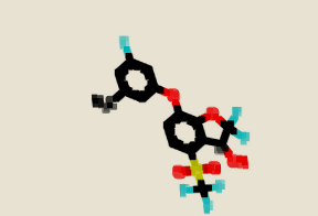 Cc1cc(F)cc(Oc2ccc(S(=O)(=O)C(F)(F)F)c3c2OC(F)(F)[C@H]3O)c1